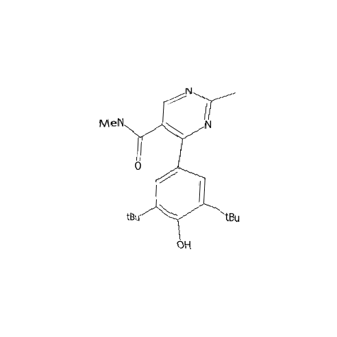 CNC(=O)c1cnc(C)nc1-c1cc(C(C)(C)C)c(O)c(C(C)(C)C)c1